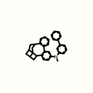 CN(c1cccc(-c2ccccc2)c1)c1ccc2c(c1)-c1ccccc1C1CC3CC4CC2C34C1